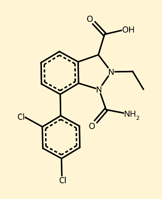 CCN1C(C(=O)O)c2cccc(-c3ccc(Cl)cc3Cl)c2N1C(N)=O